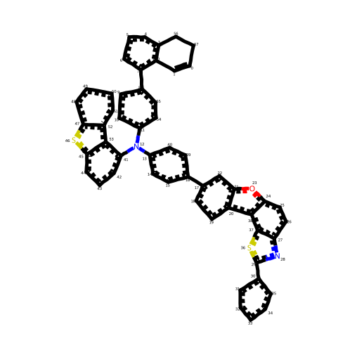 C1=Cc2c(cccc2-c2ccc(N(c3ccc(-c4ccc5c(c4)oc4ccc6nc(-c7ccccc7)sc6c45)cc3)c3cccc4sc5ccccc5c34)cc2)CC1